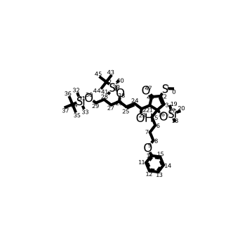 CSC1=CC(CCCCOc2ccccc2)(O[Si](C)(C)C)C(C(O)C=CC(CCCO[Si](C)(C)C(C)(C)C)O[Si](C)(C)C(C)(C)C)C1=O